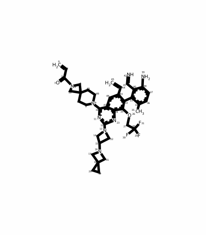 C=CC(=O)N1CC2(CCN(c3nc(N4CC(N5CC6(CC6)C5)C4)nc4c(OCC(F)(F)F)c(-c5c(C)ccc(N)c5C=N)c(C=C)cc34)CC2)C1